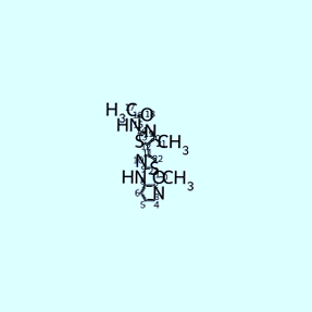 COc1ncccc1Nc1nc(-c2sc(NC(C)=O)nc2C)cs1